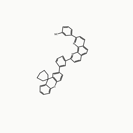 N#Cc1cccc(-c2ccc3ccc4ccc(-c5cccc(-c6ccc7c(c6)C6(CCCCC6)c6ccccc6S7)c5)nc4c3n2)c1